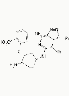 CC(C)c1nnc2c(Nc3ccc(C(=O)O)c(Cl)c3)nc(NC3CCC(N)CC3)n(C(C)C)c1-2